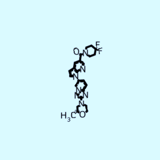 C[C@@H]1CN(c2nc3ccc(-n4ccc5cc(C(=O)N6CCC(F)(F)CC6)cnc54)cn3n2)CCO1